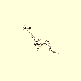 C=N/C=C\C=C(/C)n1cc(NC(=O)CCSCCC(F)(F)F)c(Cl)n1